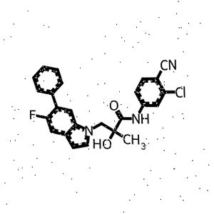 CC(O)(Cn1ccc2cc(F)c(-c3ccccc3)cc21)C(=O)Nc1ccc(C#N)c(Cl)c1